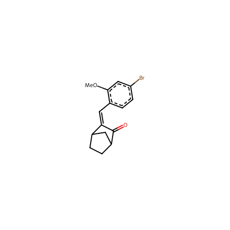 COc1cc(Br)ccc1C=C1C(=O)C2CCC1C2